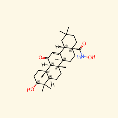 CC1(C)CC[C@]2(C(=O)NO)CC[C@]3(C)C(=CC(=O)[C@@H]4[C@@]5(C)CC[C@H](O)C(C)(C)[C@@H]5CC[C@]43C)[C@@H]2C1